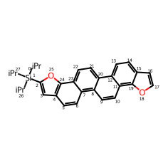 CC(C)[Si](c1cc2ccc3c4ccc5c(ccc6ccoc65)c4ccc3c2o1)(C(C)C)C(C)C